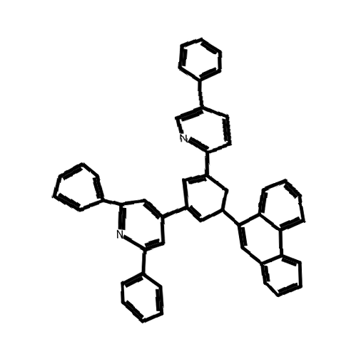 C1=C(c2cc(-c3ccccc3)nc(-c3ccccc3)c2)C=C(c2ccc(-c3ccccc3)cn2)CC1c1cc2ccccc2c2ccccc12